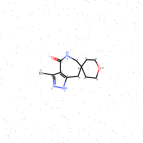 CCc1n[nH]c2c1C(=O)NCC1(CCOCC1)C2